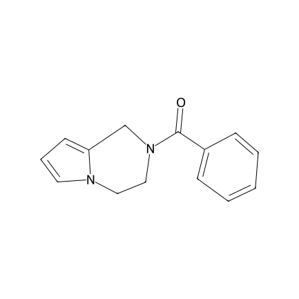 O=C(c1ccccc1)N1CCn2cccc2C1